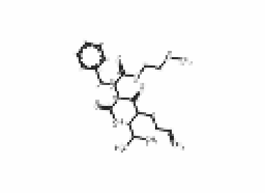 C=CCCC(CC(C)C)C(=O)N(C(=O)O)[C@@H](Cc1ccccc1)C(=O)OCCOC